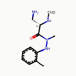 Cc1ccccc1NN(C)C(=O)[C@H](CN)NC=O